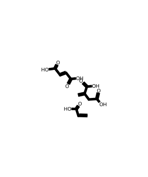 C=C(CC(=O)O)C(=O)O.C=CC(=O)O.O=C(O)C=CC(=O)O